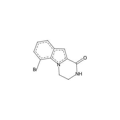 O=C1NCCn2c1cc1cccc(Br)c12